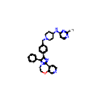 N#Cc1nccc(NC2CCN(Cc3ccc(-c4nc5n(c4-c4ccccc4)CCOc4cnccc4-5)cc3)CC2)n1